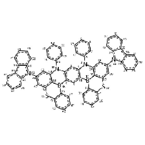 c1ccc(N2c3cc4c(cc3B3c5ccccc5Sc5cc(-n6c7ccccc7c7ccccc76)cc2c53)B2c3ccccc3Sc3cc(-n5c6ccccc6c6ccccc65)cc(c32)N4c2ccccc2)cc1